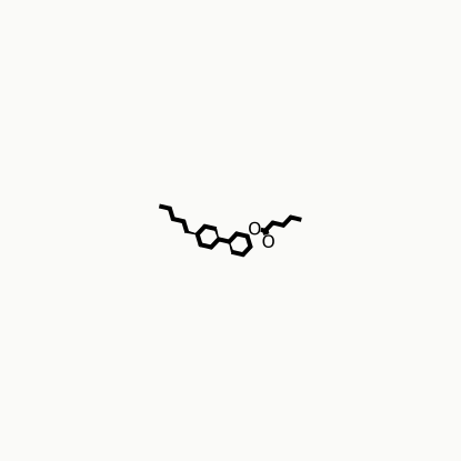 CCCCC[C@H]1CC[C@@H]([C@@H]2CCC[C@@H](OC(=O)CCCC)C2)CC1